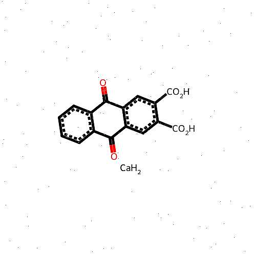 O=C(O)c1cc2c(cc1C(=O)O)C(=O)c1ccccc1C2=O.[CaH2]